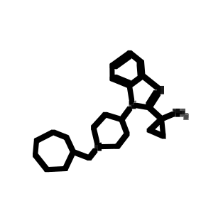 NC1(c2nc3ccccc3n2C2CCN(CC3CCCCCC3)CC2)CC1